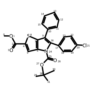 COC(=O)c1cc2c(s1)c(-c1ccccc1)c(-c1ccc(Cl)cc1)n2C(=O)OC(C)(C)C